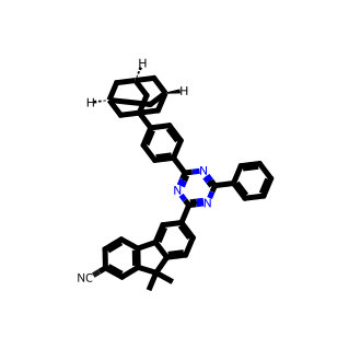 CC1(C)c2ccc(-c3nc(-c4ccccc4)nc(-c4ccc(C56C[C@H]7C[C@H](C5)C[C@@H](C6)C7)cc4)n3)cc2-c2ccc(C#N)cc21